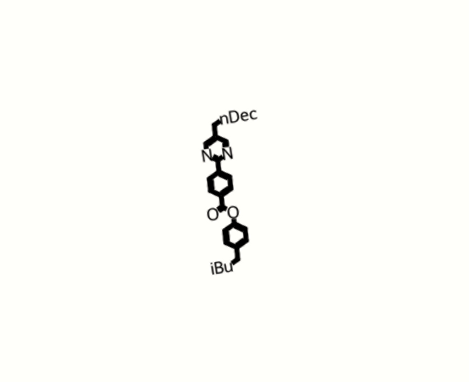 CCCCCCCCCCCc1cnc(-c2ccc(C(=O)Oc3ccc(CC(C)CC)cc3)cc2)nc1